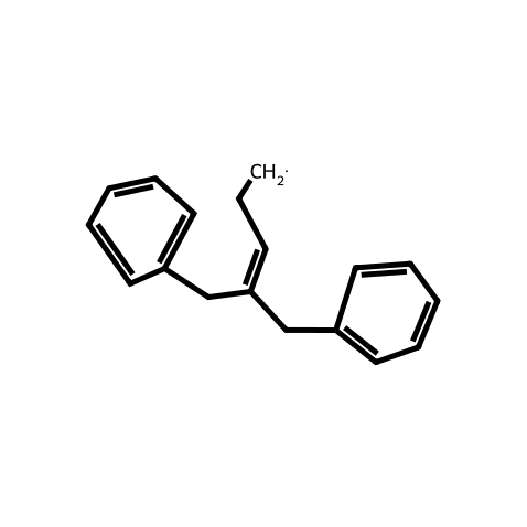 [CH2]CC=C(Cc1ccccc1)Cc1ccccc1